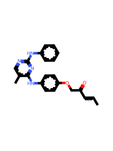 C/C=C/C(=O)COc1ccc(Nc2nc(Nc3ccccc3)ncc2C)cc1